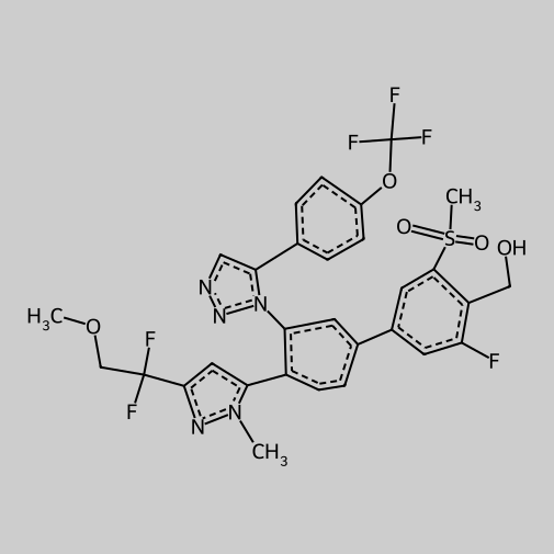 COCC(F)(F)c1cc(-c2ccc(-c3cc(F)c(CO)c(S(C)(=O)=O)c3)cc2-n2nncc2-c2ccc(OC(F)(F)F)cc2)n(C)n1